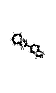 c1ccn2nc(-c3ccc4nncn4c3)nc2c1